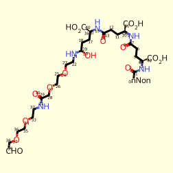 CCCCCCCCCC(=O)N[C@@H](CCC(=O)N[C@@H](CCC(=O)N[C@@H](CCC(O)NCCOCCOCC(=O)NCCOCCOCC=O)C(=O)O)C(=O)O)C(=O)O